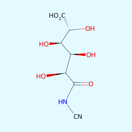 N#CNC(=O)[C@@H](O)[C@H](O)[C@@H](O)[C@@H](O)C(=O)O